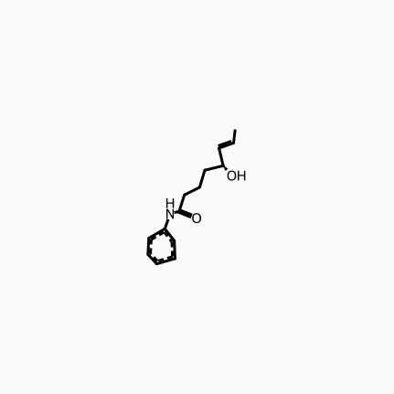 C/C=C/[C@@H](O)CCCC(=O)Nc1ccccc1